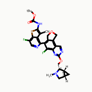 CN1C[C@H]2C[C@H]2[C@H]1COc1ncc2c3c(c(-c4ncc(F)c5sc(NC(=O)OC(C)(C)C)c(C#N)c45)c(F)c2n1)COC3